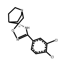 Clc1ccc(C2=NO[C@@]3(CN4CCC3CC4)N2)cc1Cl